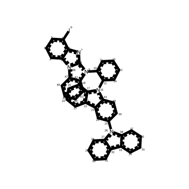 Ic1cccc2c1nc1n(-c3ccccc3-n3c4ccccc4c4cc(-n5c6ccccc6c6ccccc65)ccc43)c3ccccc3n21